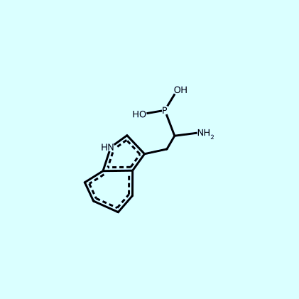 NC(Cc1c[nH]c2ccccc12)P(O)O